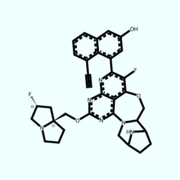 C#Cc1cccc2cc(O)cc(-c3nc4nc(OC[C@@]56CCCN5C[C@H](F)C6)nc5c4c(c3F)OCC3C4CCC(CN53)N4)c12